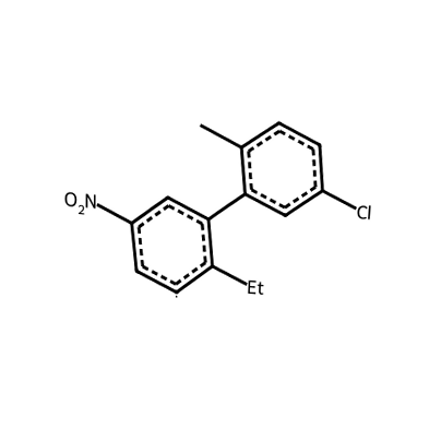 CCc1[c]cc([N+](=O)[O-])cc1-c1cc(Cl)ccc1C